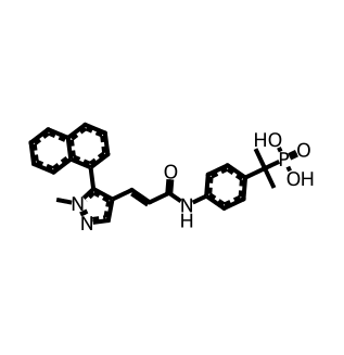 Cn1ncc(/C=C/C(=O)Nc2ccc(C(C)(C)P(=O)(O)O)cc2)c1-c1cccc2ccccc12